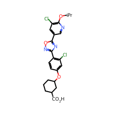 CC(C)Oc1ncc(-c2nc(-c3ccc(OC4CCCC(C(=O)O)C4)cc3Cl)no2)cc1Cl